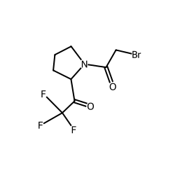 O=C(CBr)N1CCCC1C(=O)C(F)(F)F